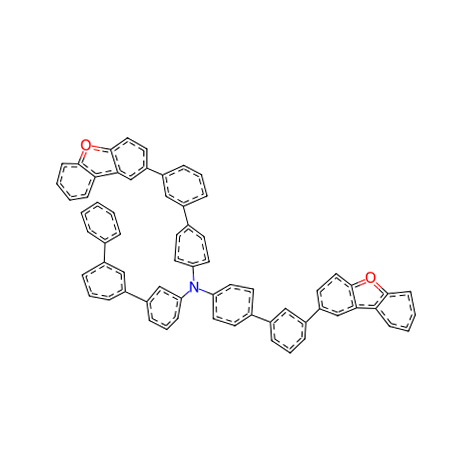 c1ccc(-c2cccc(-c3cccc(N(c4ccc(-c5cccc(-c6ccc7oc8ccccc8c7c6)c5)cc4)c4ccc(-c5cccc(-c6ccc7oc8ccccc8c7c6)c5)cc4)c3)c2)cc1